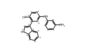 Nc1cccc(Nc2ncc(Cl)c(-c3c[nH]c4ccccc34)n2)c1